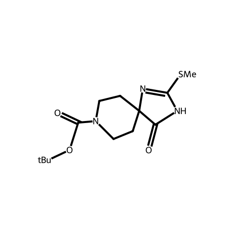 CSC1=NC2(CCN(C(=O)OC(C)(C)C)CC2)C(=O)N1